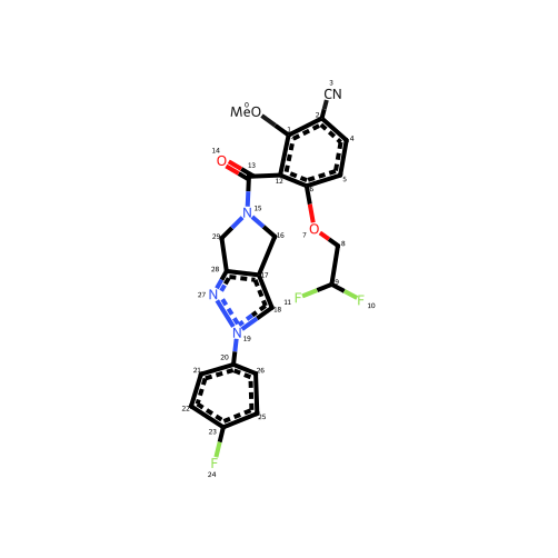 COc1c(C#N)ccc(OCC(F)F)c1C(=O)N1Cc2cn(-c3ccc(F)cc3)nc2C1